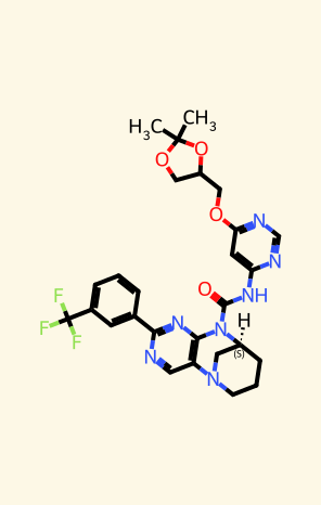 CC1(C)OCC(COc2cc(NC(=O)N3c4nc(-c5cccc(C(F)(F)F)c5)ncc4N4CCC[C@H]3C4)ncn2)O1